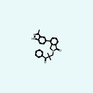 Cc1n[nH]c2ccc(-c3cccc4c3CN(CC(C)(C)C(=O)c3ccccc3)C4=O)cc12